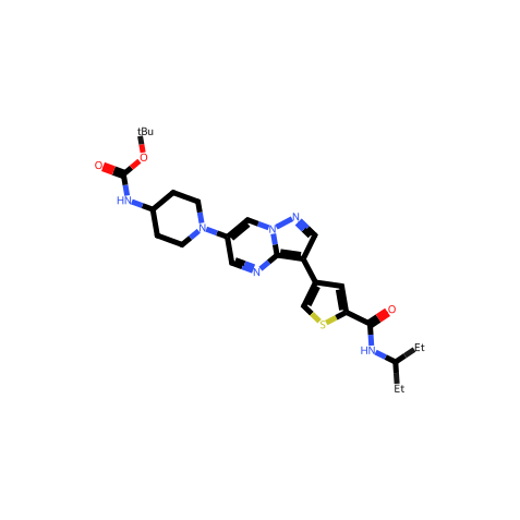 CCC(CC)NC(=O)c1cc(-c2cnn3cc(N4CCC(NC(=O)OC(C)(C)C)CC4)cnc23)cs1